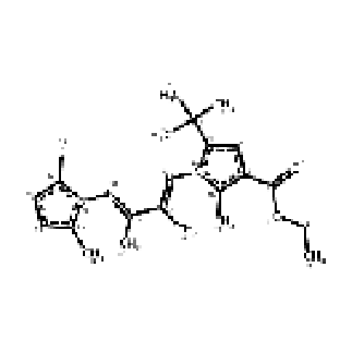 CCOC(=O)c1cc(C(C)(C)C)n(N=C(C)C(C)=Nn2c(C)ccc2C)c1C